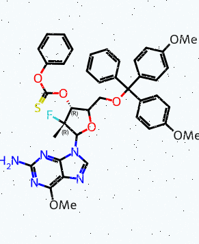 COc1ccc(C(OCC2OC(n3cnc4c(OC)nc(N)nc43)[C@](C)(F)[C@@H]2OC(=S)Oc2ccccc2)(c2ccccc2)c2ccc(OC)cc2)cc1